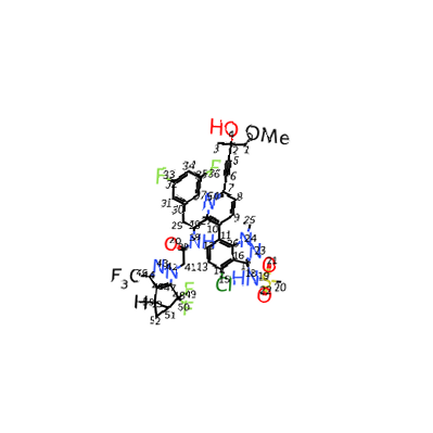 COCC(C)(O)C#Cc1ccc(-c2ccc(Cl)c3c(NS(C)(=O)=O)nn(C)c23)c([C@H](Cc2cc(F)cc(F)c2)NC(=O)Cn2nc(C(F)(F)F)c3c2C(F)(F)C2C[C@H]32)n1